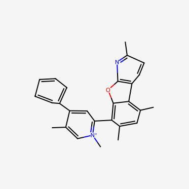 Cc1ccc2c(n1)oc1c(-c3cc(-c4ccccc4)c(C)c[n+]3C)c(C)cc(C)c12